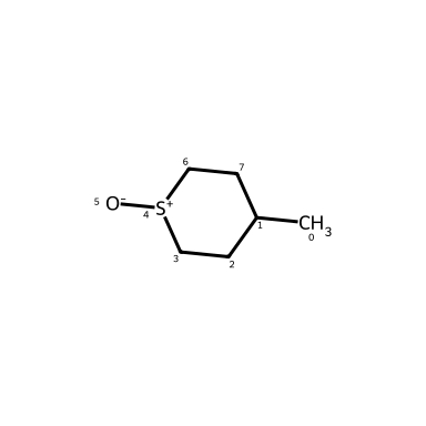 CC1CC[S+]([O-])CC1